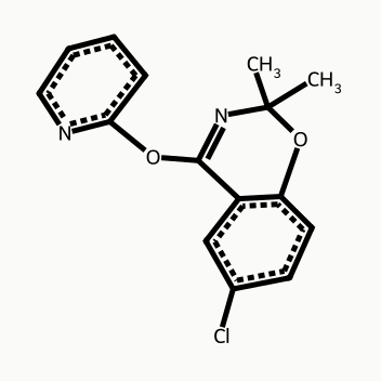 CC1(C)N=C(Oc2ccccn2)c2cc(Cl)ccc2O1